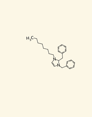 CCCCCCCCN1C=CN(Cc2ccccc2)C1Cc1ccccc1